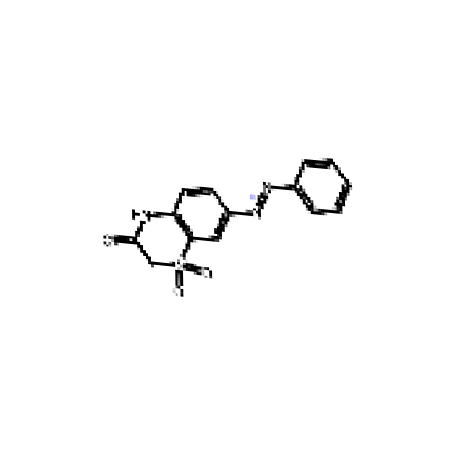 O=C1CS(=O)(=O)c2cc(/N=N/c3ccccc3)ccc2N1